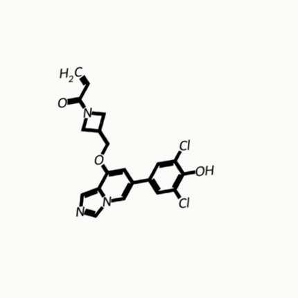 C=CC(=O)N1CC(COc2cc(-c3cc(Cl)c(O)c(Cl)c3)cn3cncc23)C1